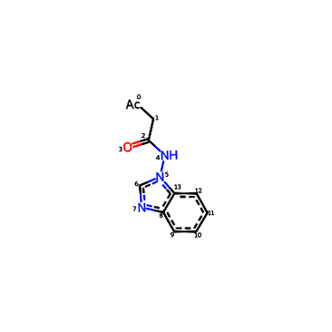 CC(=O)CC(=O)Nn1cnc2ccccc21